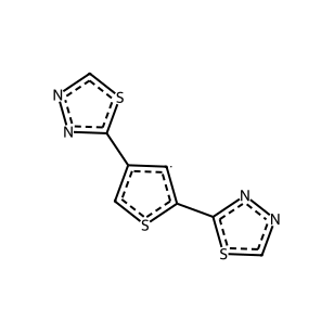 [c]1c(-c2nncs2)csc1-c1nncs1